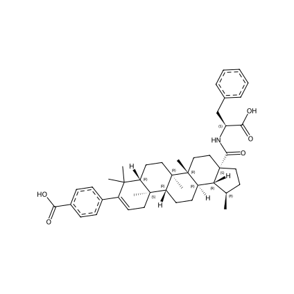 C[C@@H]1CC[C@]2(C(=O)N[C@@H](Cc3ccccc3)C(=O)O)CC[C@]3(C)[C@H](CC[C@@H]4[C@@]5(C)CC=C(c6ccc(C(=O)O)cc6)C(C)(C)[C@@H]5CC[C@]43C)[C@@H]12